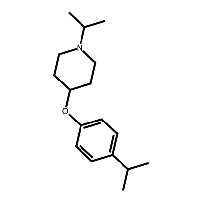 CC(C)c1ccc(OC2CCN(C(C)C)CC2)cc1